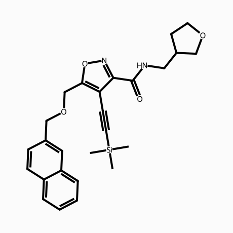 C[Si](C)(C)C#Cc1c(C(=O)NCC2CCOC2)noc1COCc1ccc2ccccc2c1